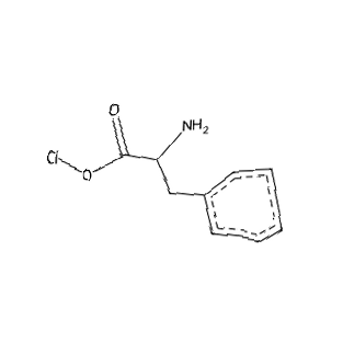 NC(Cc1ccccc1)C(=O)OCl